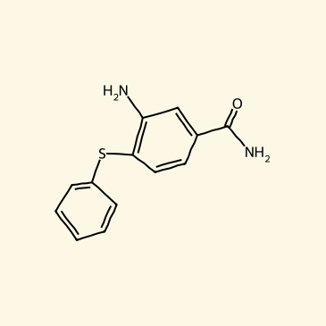 NC(=O)c1ccc(Sc2ccccc2)c(N)c1